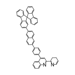 C1=CN=C(c2cc(-c3ccc(-c4ccc5cc(-c6ccc7c(c6)C6(c8ccccc8-c8ccccc86)c6ccccc6-7)ccc5c4)cc3)c3ccccc3n2)CC1